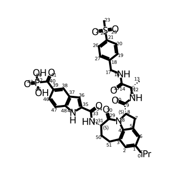 CC(C)c1cc2c3c(c1)C[C@@H](C(=O)N[C@@H](C)C(=O)NCc1ccc(S(C)(=O)=O)cc1)N3C(=O)[C@@H](NC(=O)c1cc3cc(C(=O)P(=O)(O)O)ccc3[nH]1)CC2